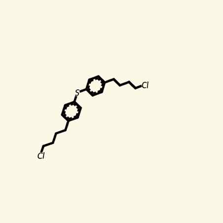 ClCCCCc1ccc(Sc2ccc(CCCCCl)cc2)cc1